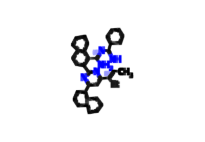 C/C=C(\CC)c1cc(-c2cccc3ccccc23)nc(-c2ccc3ccccc3c2/C(N)=N/C(=N)c2ccccc2)n1